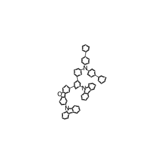 c1ccc(-c2ccc(N(c3ccc(-c4ccccc4)cc3)c3cccc(-c4cc(-c5ccc6oc7ccc(-n8c9ccccc9c9ccccc98)cc7c6c5)cc(-n5c6ccccc6c6ccccc65)c4)c3)cc2)cc1